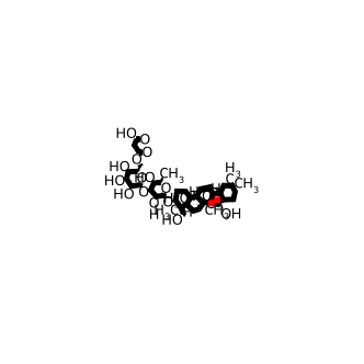 C[C@H]1O[C@@H](O[C@H]2CC[C@@]3(C)[C@@H](CC[C@]4(C)[C@@H]3C=C[C@]35OC[C@@]6(CCC(C)(C)C[C@H]63)[C@@H](O)C[C@]54C)[C@]2(C)CO)[C@H](O)[C@@H](O[C@@H]2O[C@H](COC(=O)CC(=O)O)[C@@H](O)[C@H](O)[C@H]2O)[C@H]1O